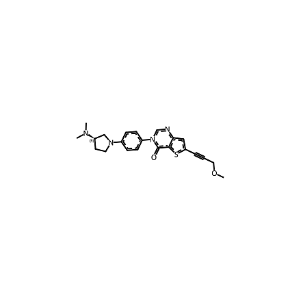 COCC#Cc1cc2ncn(-c3ccc(N4CC[C@@H](N(C)C)C4)cc3)c(=O)c2s1